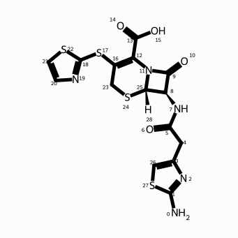 Nc1nc(CC(=O)N[C@@H]2C(=O)N3C(C(=O)O)=C(Sc4nccs4)CS[C@@H]23)cs1